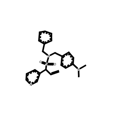 C=CC(c1cccnc1)S(=O)(=O)N(Cc1ccccc1)Cc1ccc(N(C)C)cc1